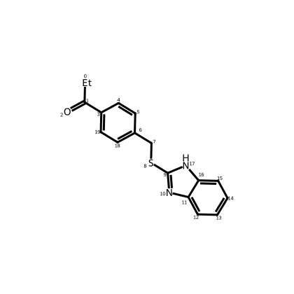 CCC(=O)c1ccc(CSc2nc3ccccc3[nH]2)cc1